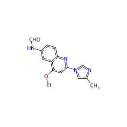 CCOc1cc(-n2cnc(C)c2)nc2ccc(NC=O)cc12